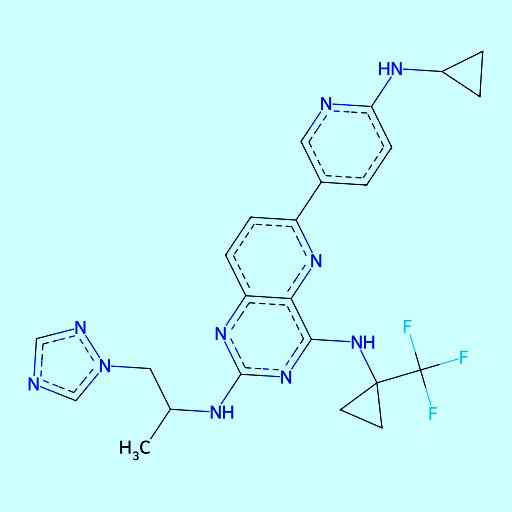 CC(Cn1cncn1)Nc1nc(NC2(C(F)(F)F)CC2)c2nc(-c3ccc(NC4CC4)nc3)ccc2n1